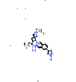 C=C(Nc1cc2cc(-c3cn[nH]c3)ccc2cn1)C1CC2(C1)CN(C)C2